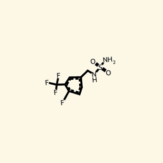 NS(=O)(=O)NCc1ccc(F)c(C(F)(F)F)c1